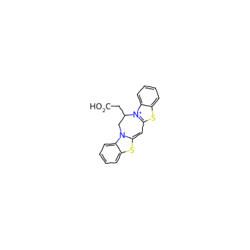 O=C(O)CC1CN2C(=Cc3sc4ccccc4[n+]31)Sc1ccccc12